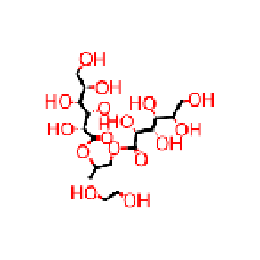 CC(COC(=O)[C@H](O)[C@@H](O)[C@H](O)[C@H](O)CO)OC(=O)[C@H](O)[C@@H](O)[C@H](O)[C@H](O)CO.OCCO